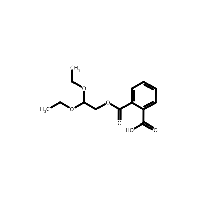 CCOC(COC(=O)c1ccccc1C(=O)O)OCC